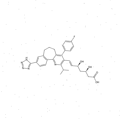 CC(C)c1nc2c(c(-c3ccc(F)cc3)c1/C=C/[C@@H](O)C[C@@H](O)CC(=O)O)CCCc1cc(-c3nnn[nH]3)ccc1-2